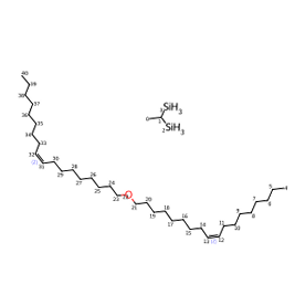 CC([SiH3])[SiH3].CCCCCCCC/C=C\CCCCCCCCOCCCCCCCC/C=C\CCCCCCCC